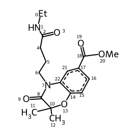 CCNC(=O)CCCN1C(=O)C(C)(C)Oc2ccc(C(=O)OC)cc21